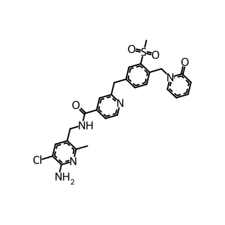 Cc1nc(N)c(Cl)cc1CNC(=O)c1ccnc(Cc2ccc(Cn3ccccc3=O)c(S(C)(=O)=O)c2)c1